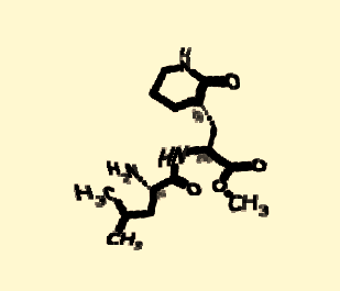 COC(=O)[C@H](C[C@@H]1CCCNC1=O)NC(=O)[C@@H](N)CC(C)C